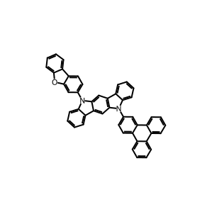 c1ccc2c(c1)oc1cc(-n3c4ccccc4c4cc5c(cc43)c3ccccc3n5-c3ccc4c5ccccc5c5ccccc5c4c3)ccc12